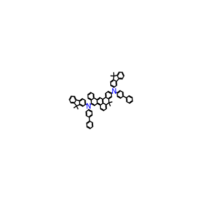 CC1(C)c2ccccc2-c2cc(N(c3ccc(-c4ccccc4)cc3)c3ccc4c(c3)C(C)(C)c3cccc5c3c-4cc3c4ccccc4c(N(c4ccc(-c6ccccc6)cc4)c4ccc6c(c4)C(C)(C)c4ccccc4-6)cc53)ccc21